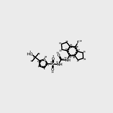 CC(C)(O)c1ccc(S(=O)(=O)NC(=O)Nc2c3c(c(F)c4c2CCC4)CCC3)s1